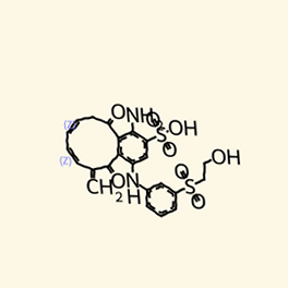 C=C1/C=C\C=C/CC(=O)c2c(N)c(S(=O)(=O)O)cc(Nc3cccc(S(=O)(=O)CCO)c3)c2C1=O